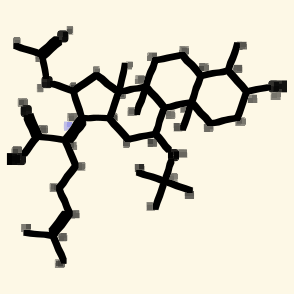 CC(=O)OC1CC2(C)C(CC(OC(C)(C)C)C3C4(C)CCC(O)C(C)C4CCC32C)/C1=C(\CCC=C(C)C)C(=O)O